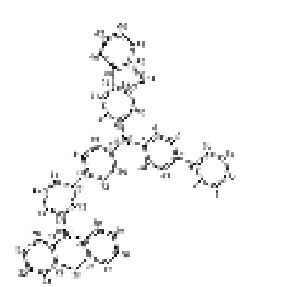 c1ccc(-c2ccc(N(c3ccc(-c4cccc(N5c6ccccc6Cc6ccccc65)c4)cc3)c3ccc4c(c3)sc3ccccc34)cc2)cc1